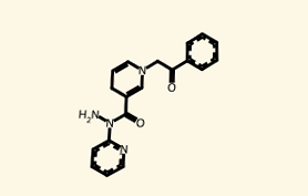 NN(C(=O)C1=CN(CC(=O)c2ccccc2)C=CC1)c1ccccn1